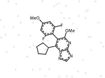 COc1cc(F)c(-c2c(OC)nc3ncnn3c2C2CCCC2)c(F)c1